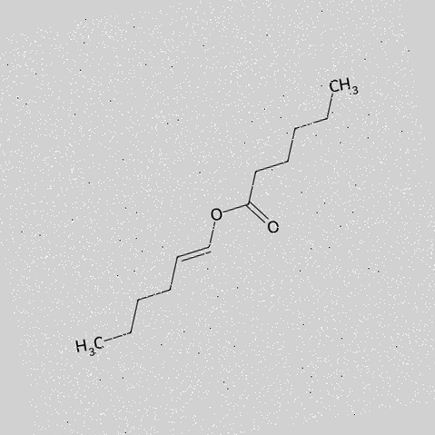 CCCC/C=C/OC(=O)CCCCC